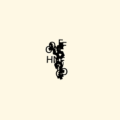 COC(=O)c1cc2c(N[C@@H]3CCN(C(=O)OC(C)(C)C)C[C@@H]3F)cccc2n1CC(F)(F)F